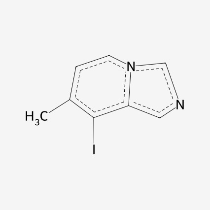 Cc1ccn2cncc2c1I